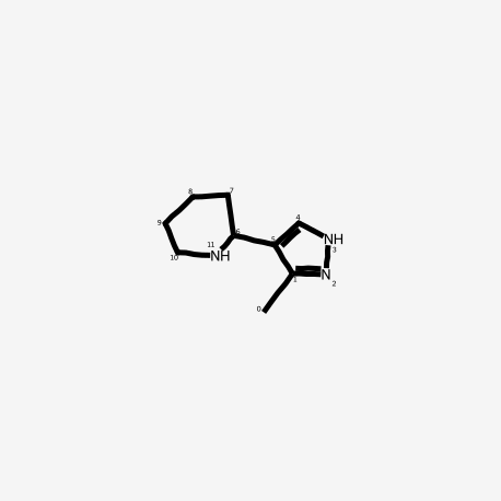 Cc1n[nH]cc1C1CCCCN1